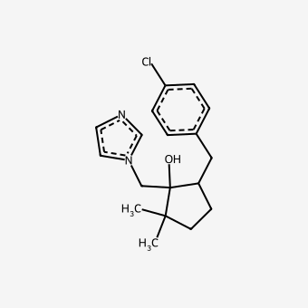 CC1(C)CCC(Cc2ccc(Cl)cc2)C1(O)Cn1ccnc1